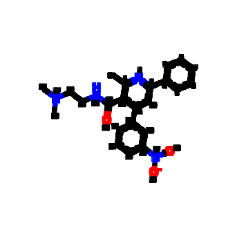 Cc1nc(-c2ccccc2)cc(-c2cccc([N+](=O)[O-])c2)c1C(=O)NCCN(C)C